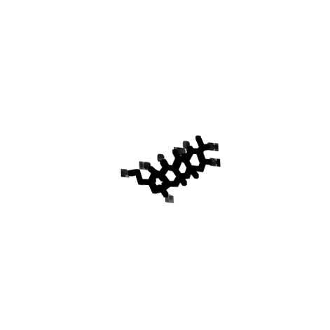 CCc1cc(CCC(C)C)c(O)c2c1CC1(C)CC3(C)CC(O)=C(C(C)O)C(=O)C3(O)C(C)=C1C2=O